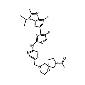 CC(=O)N1CC[C@]2(CN(Cc3ccc(Nc4ncc(F)c(-c5cc(F)c6nc(C)n(C(C)C)c6c5)n4)nc3)CCO2)C1